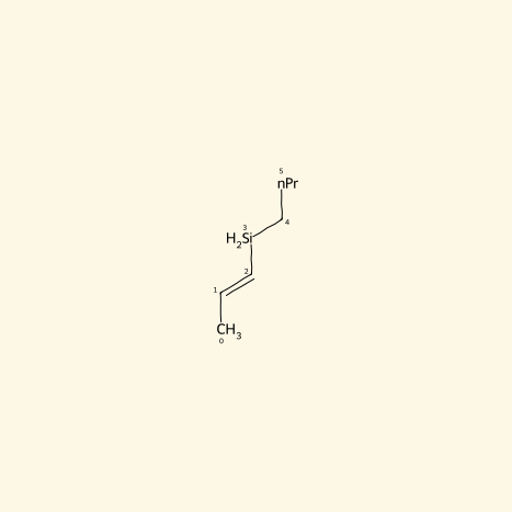 CC=C[SiH2]CCCC